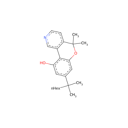 CCCCCCC(C)(C)c1cc(O)c2c(c1)OC(C)(C)c1ccncc1-2